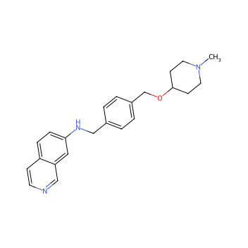 CN1CCC(OCc2ccc(CNc3ccc4ccncc4c3)cc2)CC1